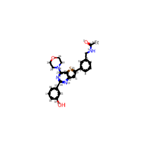 CCC(=O)NCc1cccc(-c2cc3nc(-c4cccc(O)c4)nc(N4CCOCC4)c3s2)c1